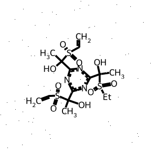 C=CS(=O)(=O)C(C)(O)c1nc(C(C)(O)S(=O)(=O)C=C)nc(C(C)(O)S(=O)(=O)CC)n1